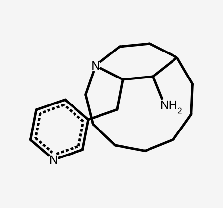 NC1C2CCCCCCCN(CC2)C1Cc1cccnc1